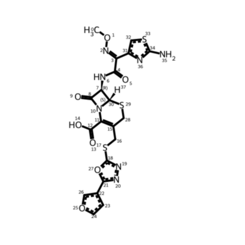 CON=C(C(=O)N[C@@H]1C(=O)N2C(C(=O)O)=C(CSc3nnc(-c4ccoc4)o3)CS[C@@H]12)c1csc(N)n1